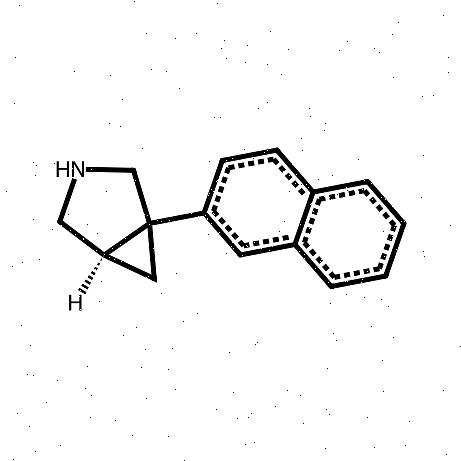 c1ccc2cc(C34CNC[C@@H]3C4)ccc2c1